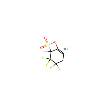 Cl.O=S1(=O)OC2=CCC(F)(F)C(F)(F)C21F